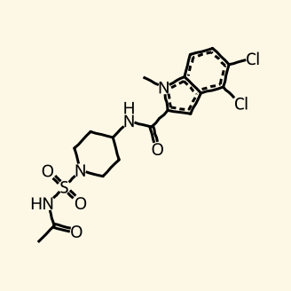 CC(=O)NS(=O)(=O)N1CCC(NC(=O)c2cc3c(Cl)c(Cl)ccc3n2C)CC1